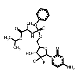 CC(C)OC(=O)[C@H](C)NP(=O)(OC[C@H]1OC(n2ccc(N)nc2=O)[C@@](F)(Cl)[C@@H]1O)Oc1ccccc1